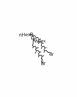 CCCCCCOC(CCCC(C)CC(C)CC(C)CC(C)CC(C)CC(C)CCCBr)OC(CCCC(C)CC(C)CC(C)CC(C)CC(C)CC(C)CCCBr)OCCCCCC